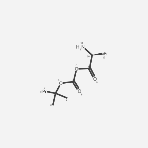 CCCC(C)(C)OC(=O)OC(=O)[C@@H](N)C(C)C